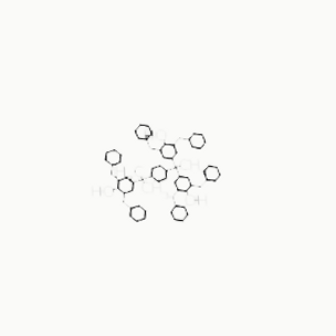 CC(C)(c1ccc(C(C)(c2cc(Cc3ccccc3)c(O)c(Cc3ccccc3)c2)c2cc(Cc3ccccc3)c(O)c(Cc3ccccc3)c2)cc1)c1cc(Cc2ccccc2)c(O)c(Cc2ccccc2)c1